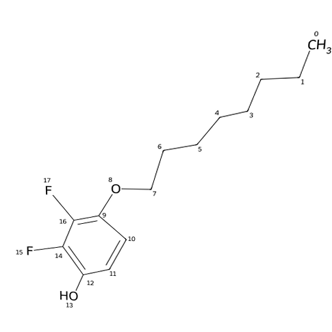 CCCCCCCCOc1ccc(O)c(F)c1F